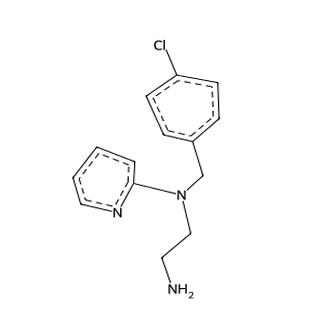 NCCN(Cc1ccc(Cl)cc1)c1ccccn1